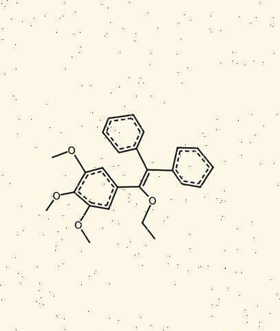 CCOC(=C(c1ccccc1)c1ccccc1)c1cc(OC)c(OC)c(OC)c1